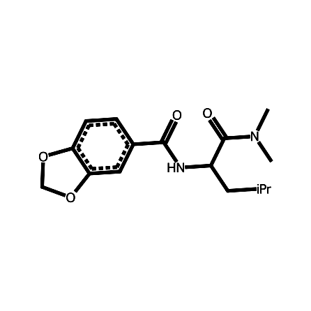 CC(C)CC(NC(=O)c1ccc2c(c1)OCO2)C(=O)N(C)C